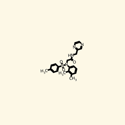 Cc1ccc(S(=O)(=O)N(CC(=O)NCc2cnccn2)c2cccc(C)c2C)cc1